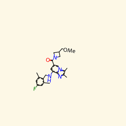 COCC1CN(C(=O)c2cc(NCc3c(C)cc(F)cc3C)c3nc(C)c(C)n3c2)C1